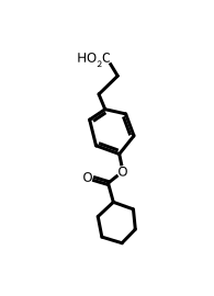 O=C(O)CCc1ccc(OC(=O)C2CCCCC2)cc1